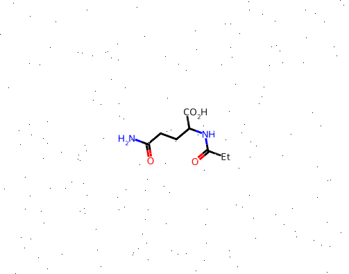 CCC(=O)NC(CCC(N)=O)C(=O)O